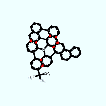 CC(C)(C)c1ccc(-c2ccccc2N(c2ccccc2-c2cccc3c2ccc2ccccc23)c2ccccc2-c2cccc3cccc(-c4ccccc4)c23)cc1